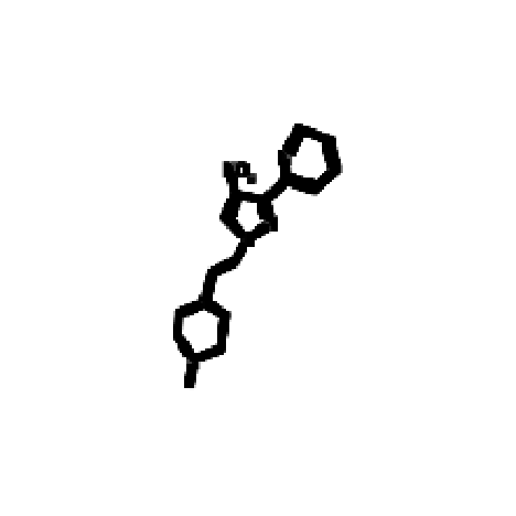 CN1CCN(CCn2cc([N+](=O)[O-])c(-c3ccccn3)n2)CC1